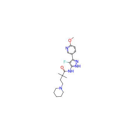 COc1ccc(-c2n[nH]c(NC(=O)C(C)(C)CCN3CCCCC3)c2F)cn1